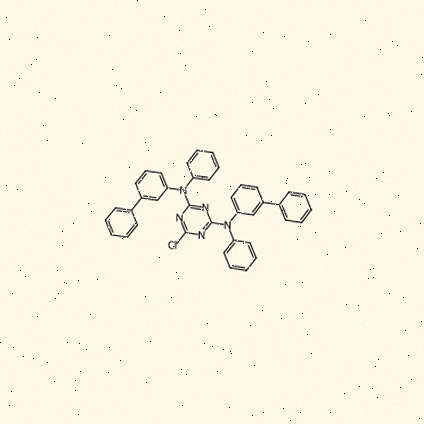 Clc1nc(N(c2ccccc2)c2cccc(-c3ccccc3)c2)nc(N(c2ccccc2)c2cccc(-c3ccccc3)c2)n1